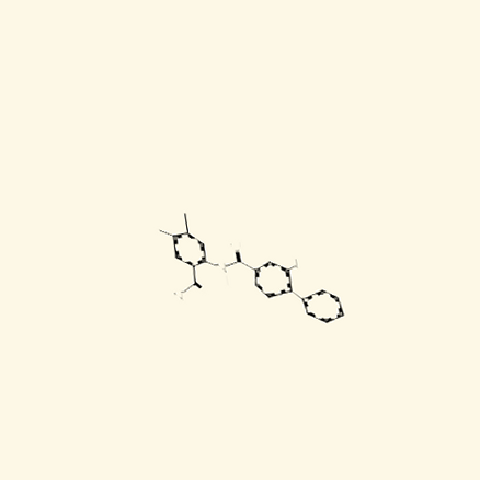 Cc1cc(NC(=O)c2ccc(-c3ccccc3)c(F)c2)c(C(N)=O)cc1C